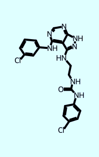 O=C(NCCNc1n[nH]c2ncnc(Nc3cccc(Cl)c3)c12)Nc1ccc(Cl)cc1